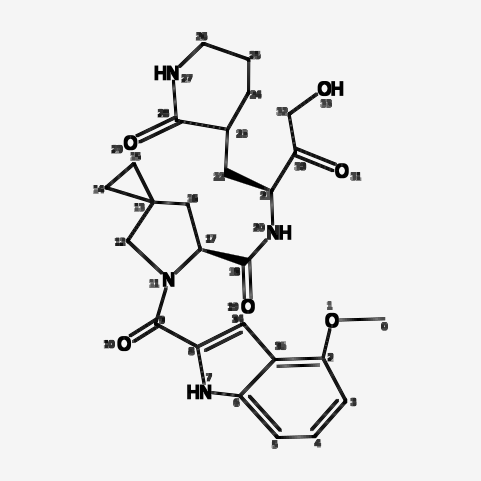 COc1cccc2[nH]c(C(=O)N3CC4(CC4)C[C@H]3C(=O)N[C@@H](CC3CCCNC3=O)C(=O)CO)cc12